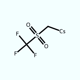 O=S(=O)([CH2][Cs])C(F)(F)F